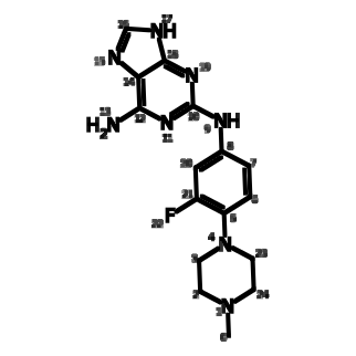 CN1CCN(c2ccc(Nc3nc(N)c4nc[nH]c4n3)cc2F)CC1